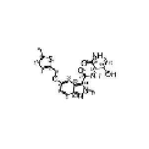 Cc1ncc(COc2ccc3nn(C)c(C(=O)N[C@H](C(N)=O)[C@@H](C)O)c3c2)s1